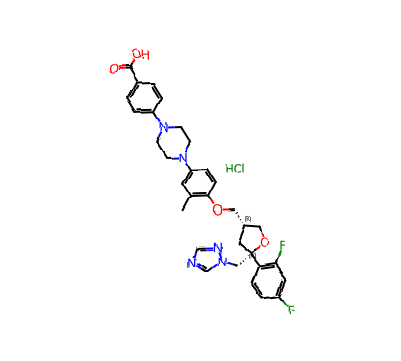 Cc1cc(N2CCN(c3ccc(C(=O)O)cc3)CC2)ccc1OC[C@@H]1CO[C@@](Cn2cncn2)(c2ccc(F)cc2F)C1.Cl